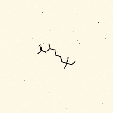 CCC(F)(F)CCCSC(C)OC(C)=O